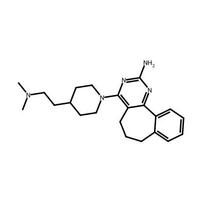 CN(C)CCC1CCN(c2nc(N)nc3c2CCCc2ccccc2-3)CC1